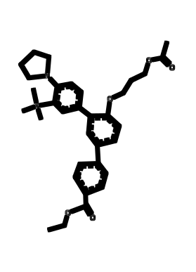 CCOC(=O)c1ccc(-c2ccc(OCCCOC(C)=O)c(-c3ccc(N4CCCC4)c(S(C)(C)C)c3)c2)cc1